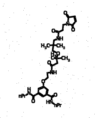 CCCNC(=O)c1cc(OCCNC(=O)CC(C)(C)OCC(C)(C)CNC(=O)CCN2C(=O)C=CC2=O)cc(C(=O)NCCC)c1